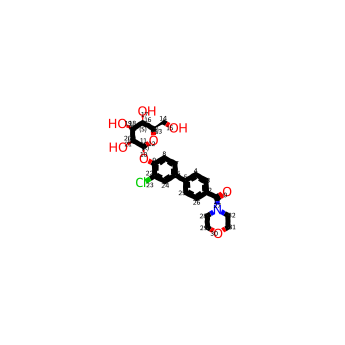 O=C(c1ccc(-c2ccc(O[C@H]3O[C@H](CO)[C@@H](O)[C@H](O)[C@@H]3O)c(Cl)c2)cc1)N1CCOCC1